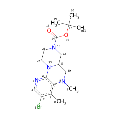 Cc1c(Br)cnc2c1N(C)CC1CN(C(=O)OC(C)(C)C)CCN21